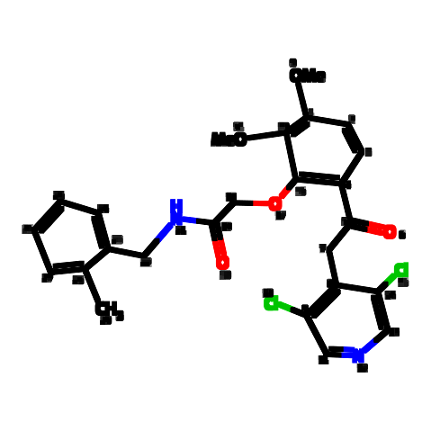 COc1ccc(C(=O)Cc2c(Cl)cncc2Cl)c(OCC(=O)NCc2ccccc2C)c1OC